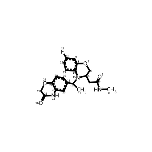 CNC(=O)CC1COc2cc(F)ccc2N1C(C)c1ccc2c(c1)NC(=O)CO2